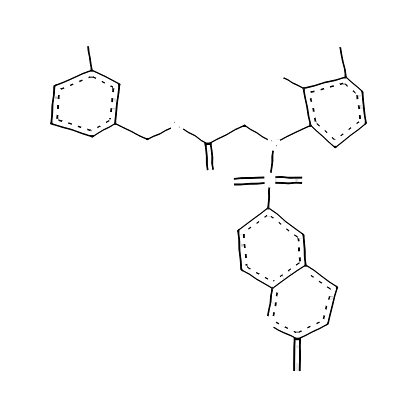 Cc1c(Cl)cccc1N(CC(=O)NCc1cccc(C(=O)O)c1)S(=O)(=O)c1ccc2oc(=O)ccc2c1